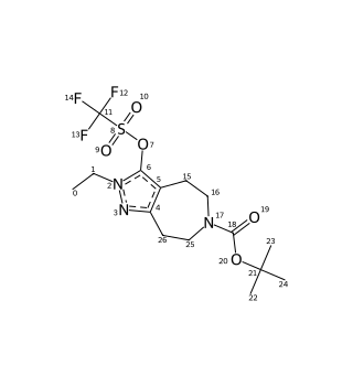 CCn1nc2c(c1OS(=O)(=O)C(F)(F)F)CCN(C(=O)OC(C)(C)C)CC2